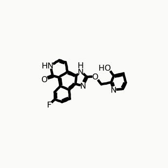 O=c1[nH]ccc2c3[nH]c(OCc4ncccc4O)nc3c3ccc(F)cc3c12